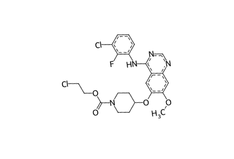 COc1cc2ncnc(Nc3cccc(Cl)c3F)c2cc1OC1CCN(C(=O)OCCCl)CC1